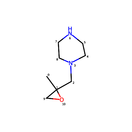 CC1(CN2CCNCC2)CO1